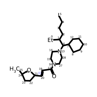 CCC(CCCI)C(C1CCCCC1)N1CCN(C(=O)/C=C/C2CCC(C)O2)CC1